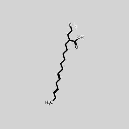 CC/C=C/C/C=C/CCCCCCC(CCC)C(=O)O